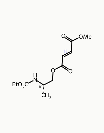 CCOC(=O)N[C@@H](C)COC(=O)/C=C/C(=O)OC